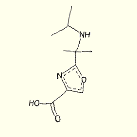 CC(C)NC(C)(C)c1nc(C(=O)O)co1